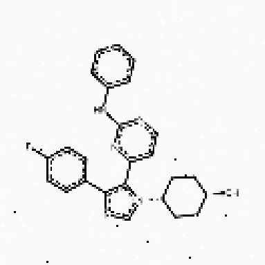 O[C@H]1CC[C@H](n2cnc(-c3ccc(F)cc3)c2-c2ccnc(Nc3ccccc3)n2)CC1